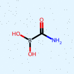 NC(=O)B(O)O